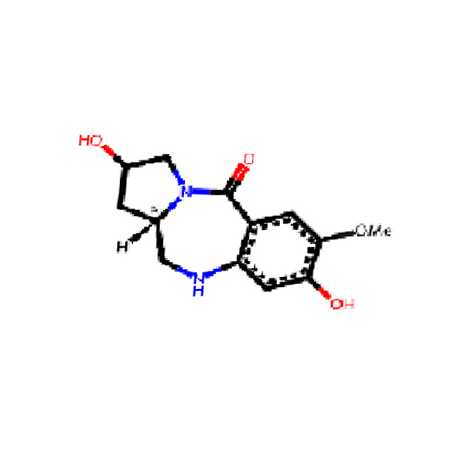 COc1cc2c(cc1O)NC[C@@H]1CC(O)CN1C2=O